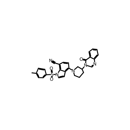 Cc1ccc(S(=O)(=O)n2ccc3c(N4CCCC(n5cnc6ccccc6c5=O)C4)ccc(C#N)c32)cc1